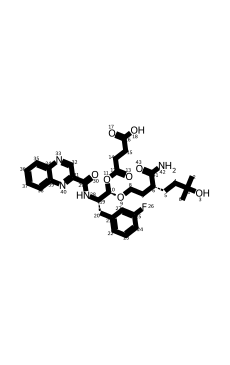 CC(C)(O)CC[C@H](CCO[C@@H](OC(=O)CCC(=O)O)[C@H](Cc1cccc(F)c1)NC(=O)c1cnc2ccccc2n1)C(N)=O